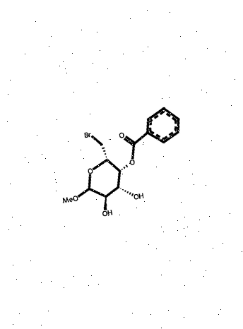 COC1O[C@H](CBr)[C@H](OC(=O)c2ccccc2)[C@H](O)[C@H]1O